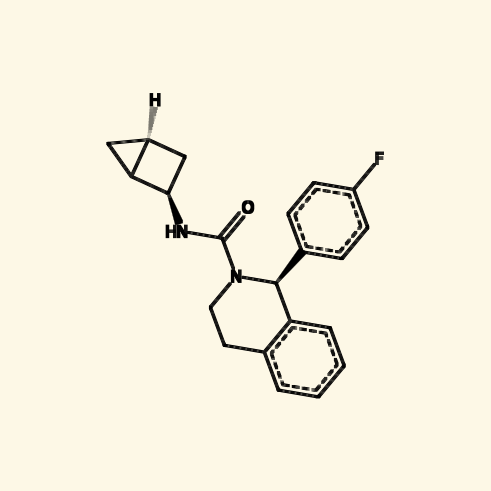 O=C(N[C@@H]1C[C@@H]2CC21)N1CCc2ccccc2[C@@H]1c1ccc(F)cc1